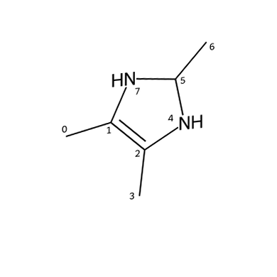 CC1=C(C)NC(C)N1